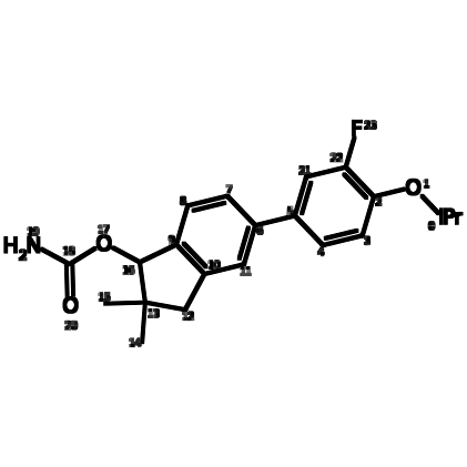 CC(C)Oc1ccc(-c2ccc3c(c2)CC(C)(C)C3OC(N)=O)cc1F